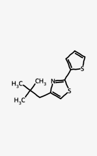 CC(C)(C)Cc1csc(-c2cccs2)n1